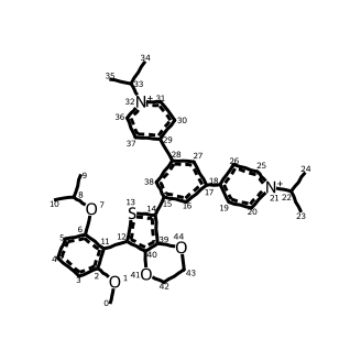 COc1cccc(OC(C)C)c1-c1sc(-c2cc(-c3cc[n+](C(C)C)cc3)cc(-c3cc[n+](C(C)C)cc3)c2)c2c1OCCO2